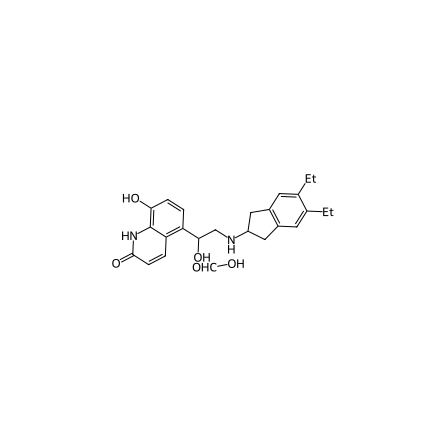 CCc1cc2c(cc1CC)CC(NCC(O)c1ccc(O)c3[nH]c(=O)ccc13)C2.O=CO